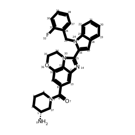 N[C@@H]1CCCN(C(=O)c2cc3c4c(c2)nc(-c2cc5ccccc5n2Cc2ccccc2F)n4CCO3)C1